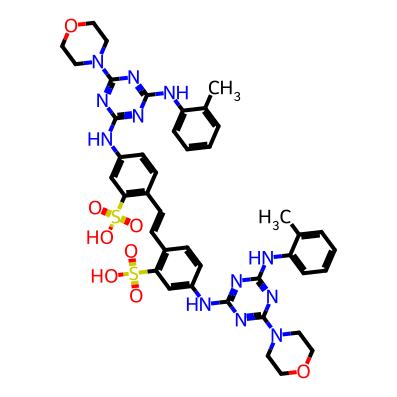 Cc1ccccc1Nc1nc(Nc2ccc(C=Cc3ccc(Nc4nc(Nc5ccccc5C)nc(N5CCOCC5)n4)cc3S(=O)(=O)O)c(S(=O)(=O)O)c2)nc(N2CCOCC2)n1